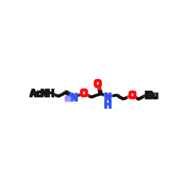 CCC(C)COCCNC(=O)CO/N=C/CNC(C)=O